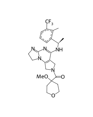 COC1(C(=O)N2CC3=C(C2)N2CCN=C2N=C3N[C@H](C)c2cccc(C(F)(F)F)c2C)CCOCC1